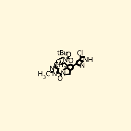 Cc1cc(C(=O)N2CCc3cc(-c4cnc5[nH]cc(Cl)c5c4)cc(C4COCCN4C(=O)OC(C)(C)C)c3C2)nc(C)n1